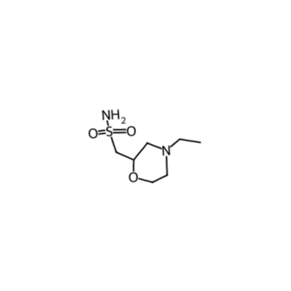 CCN1CCOC(CS(N)(=O)=O)C1